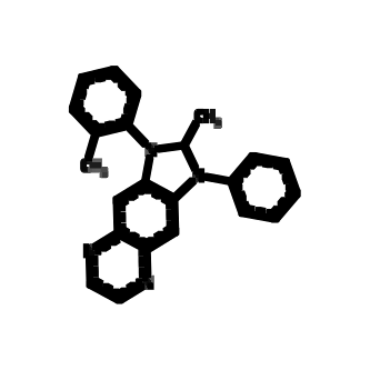 Cc1ccccc1N1c2cc3nccnc3cc2N(c2ccccc2)C1C